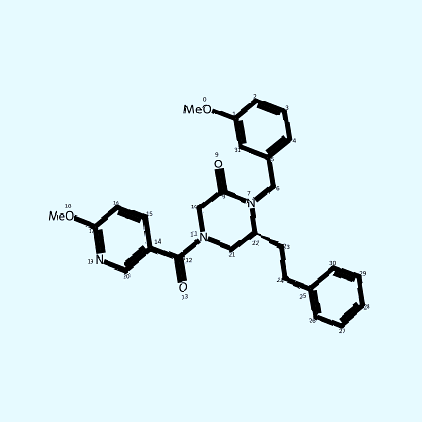 COc1cccc(CN2C(=O)CN(C(=O)c3ccc(OC)nc3)C[C@@H]2CCc2ccccc2)c1